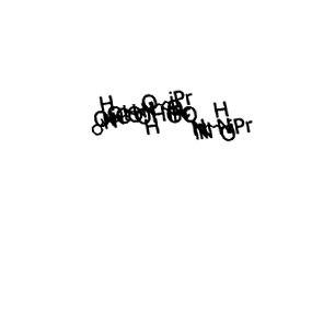 CC(C)C(=O)NCCCCc1cn(CCCC(=O)CCC(=O)Oc2c(C(C)C)cc(CCC(=O)NCC(O)COCCOCC(O)CNCC(O)C3CCCCCC3)cc2C(C)C)nn1